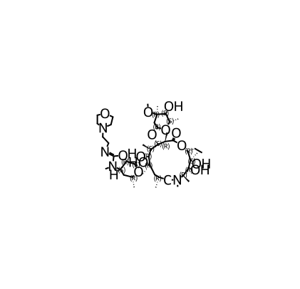 CC[C@H]1OC(=O)[C@H](C)[C@@H](O[C@H]2C[C@@](C)(OC)[C@@H](O)[C@H](C)O2)[C@H](C)[C@@H](O[C@@H]2O[C@H](C)C[C@H]3[C@H]2OC(=NCCN2CCOCC2)N3C)[C@](C)(O)C[C@@H](C)CN(C)[C@H](C)[C@@H](O)[C@]1(C)O